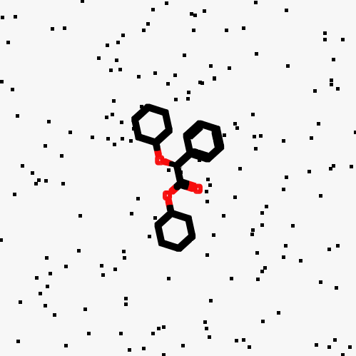 O=C(OC1CCCCC1)[C@@H](OC1CCCCC1)c1ccccc1